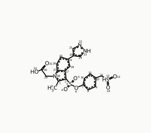 Cc1c(S(=O)(=O)Oc2ccc(C[SH](=O)=O)cc2)c2cc(-c3cn[nH]c3)ccc2n1CC(=O)O